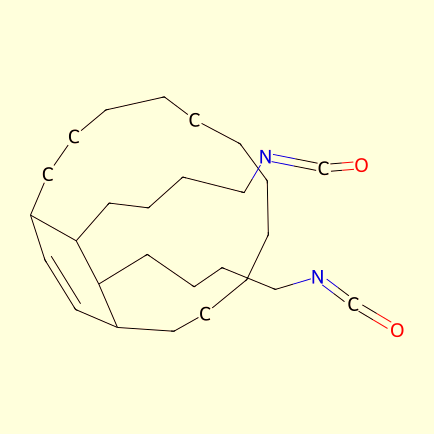 O=C=NCCCCC1C2C=CC(CCCCCCCCCCC2)C1CCCCN=C=O